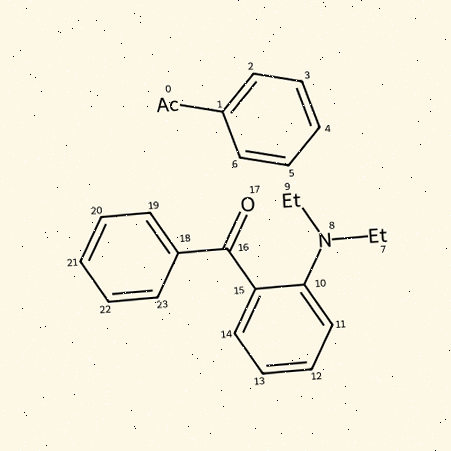 CC(=O)c1ccccc1.CCN(CC)c1ccccc1C(=O)c1ccccc1